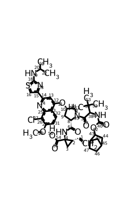 C=C[C@@H]1C[C@]1(NC(=O)[C@@H]1C[C@@H](Oc2cc(-c3csc(NC(C)C)n3)nc3c(Cl)c(OC)ccc23)CN1C(=O)C(NC(=O)OC1CC2CCC1C2)C(C)(C)C)C(=O)O